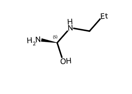 CCCN[C@H](N)O